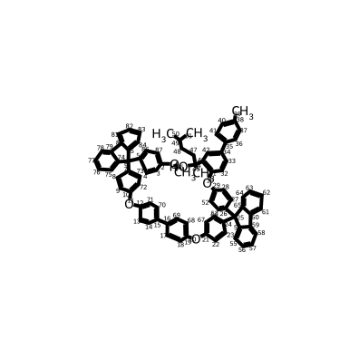 COc1ccc(C2(c3ccc(Oc4ccc(-c5ccc(Oc6ccc(C7(c8ccc(Oc9ccc(-c%10ccc(C)cc%10)cc9C(C)(O)CCC(C)C)cc8)c8ccccc8-c8ccccc87)cc6)cc5)cc4)cc3)c3ccccc3-c3ccccc32)cc1